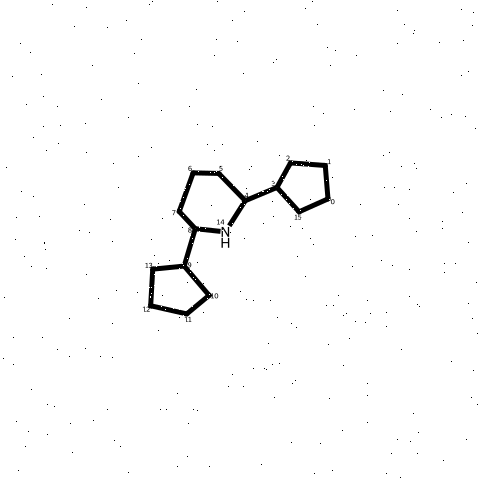 C1CCC(C2CCCC(C3CCCC3)N2)C1